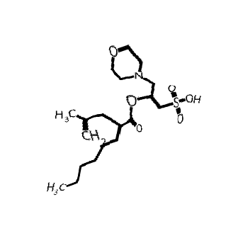 C=C(C)CC(CCCCCC)C(=O)OC(CN1CCOCC1)CS(=O)(=O)O